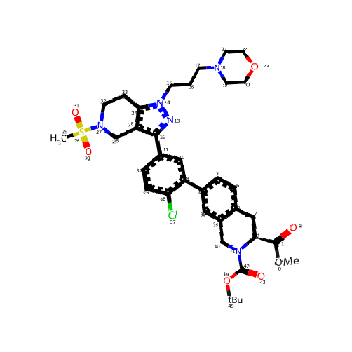 COC(=O)[C@@H]1Cc2ccc(-c3cc(-c4nn(CCCN5CCOCC5)c5c4CN(S(C)(=O)=O)CC5)ccc3Cl)cc2CN1C(=O)OC(C)(C)C